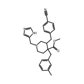 COC(=O)C1(Cc2cccc(C)c2)CCN(Cc2cnc[nH]2)CC1Cc1ccc(C#N)cc1